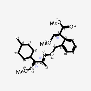 CO/C=C(/C(=O)OC)c1ccccc1CO/N=C(C)/C(=N/OC)C1CCC(C)CC1